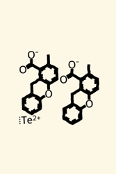 Cc1ccc2c(c1C(=O)[O-])Cc1ccccc1O2.Cc1ccc2c(c1C(=O)[O-])Cc1ccccc1O2.[Te+2]